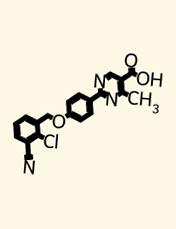 Cc1nc(-c2ccc(OCc3cccc(C#N)c3Cl)cc2)ncc1C(=O)O